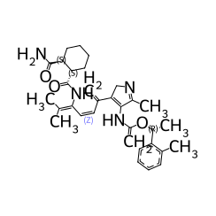 C=C(NC1=C(C(=C)/C=C\C(NC(=O)[C@H]2CCCC[C@@H]2C(N)=O)=C(C)C)CN=C1C)O[C@H](C)c1ccccc1C